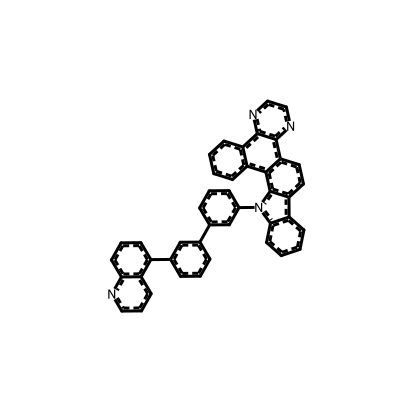 c1cc(-c2cccc(-n3c4ccccc4c4ccc5c6nccnc6c6ccccc6c5c43)c2)cc(-c2cccc3ncccc23)c1